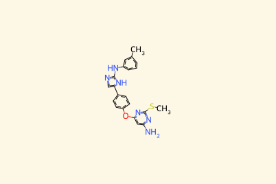 CSc1nc(N)cc(Oc2ccc(-c3cnc(Nc4cccc(C)c4)[nH]3)cc2)n1